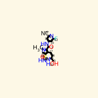 Cn1cc2c(c1C(=O)Nc1cc(F)nc(C#N)c1)C=CC(CO)NS2(=N)=O